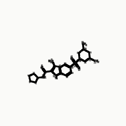 Cc1c(C(=O)NC2CCCC2)[nH]c2ccc(S(=O)(=O)N3CC(C)CC(C)C3)cc12